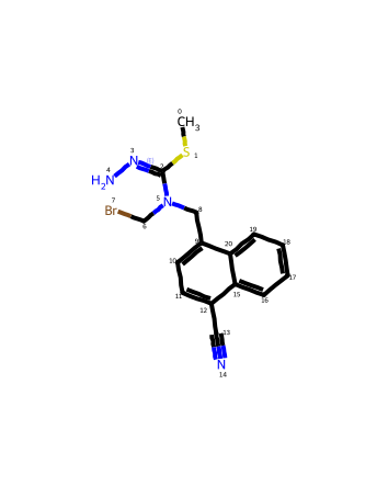 CS/C(=N/N)N(CBr)Cc1ccc(C#N)c2ccccc12